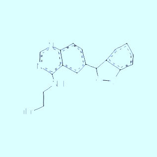 CC(C)CCNc1ncnc2ccc(C3OOc4ccccc43)cc12